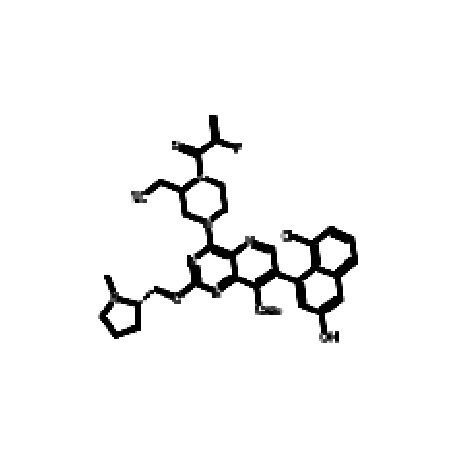 C=C(F)C(=O)N1CCN(c2nc(OC[C@@H]3CCCN3C)nc3c(OC)c(-c4cc(O)cc5cccc(Cl)c45)cnc23)CC1CC#N